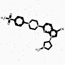 CN1CC[C@H](n2cc(C#N)c3ccc(N4CCN(c5ccc(S(C)(=O)=O)cc5)CC4)nc32)C1